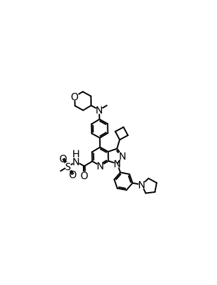 CN(c1ccc(-c2cc(C(=O)NS(C)(=O)=O)nc3c2c(C2CCC2)nn3-c2cccc(N3CCCC3)c2)cc1)C1CCOCC1